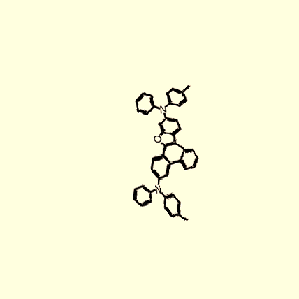 Cc1ccc(N(c2ccccc2)c2ccc3c(c2)oc2c4ccc(N(c5ccccc5)c5ccc(C)cc5)cc4c4ccccc4c32)cc1